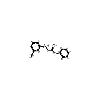 O=C(CNc1cccc(Cl)c1)Oc1ccccc1